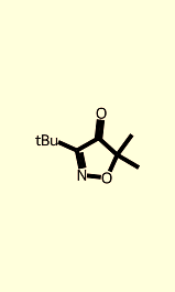 CC(C)(C)C1=NOC(C)(C)C1=O